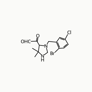 CC1(C)NCN(Cc2cc(Cl)ccc2Br)C1C(=O)C=O